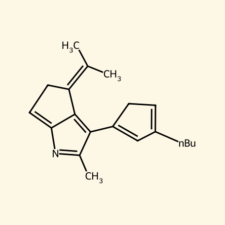 CCCCC1=CCC(C2=C3C(=CCC3=C(C)C)N=C2C)=C1